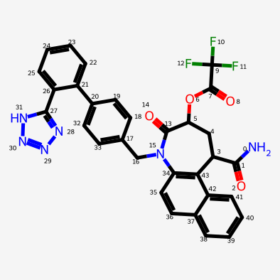 NC(=O)C1CC(OC(=O)C(F)(F)F)C(=O)N(Cc2ccc(-c3ccccc3-c3nnn[nH]3)cc2)c2ccc3ccccc3c21